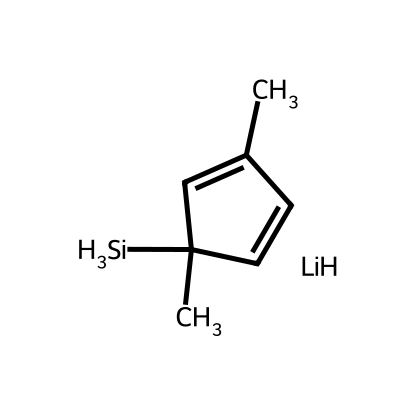 CC1=CC(C)([SiH3])C=C1.[LiH]